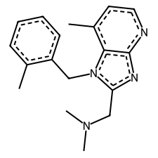 Cc1ccccc1Cn1c(CN(C)C)nc2nccc(C)c21